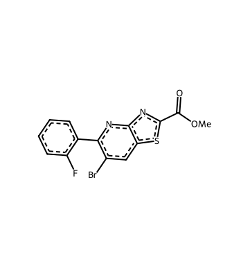 COC(=O)c1nc2nc(-c3ccccc3F)c(Br)cc2s1